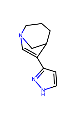 C1=C(c2cc[nH]n2)C2CCCN1C2